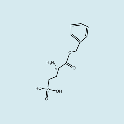 N[C@@H](CCP(=O)(O)O)C(=O)OCc1ccccc1